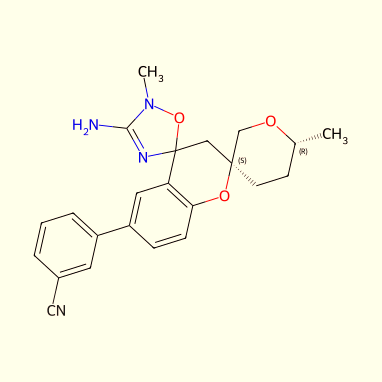 C[C@@H]1CC[C@@]2(CO1)CC1(N=C(N)N(C)O1)c1cc(-c3cccc(C#N)c3)ccc1O2